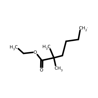 [CH2]CCCC(C)(C)C(=O)OCC